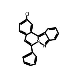 Clc1ccc2cc(-c3ccccc3)n3nc4ccccc4c3c2c1